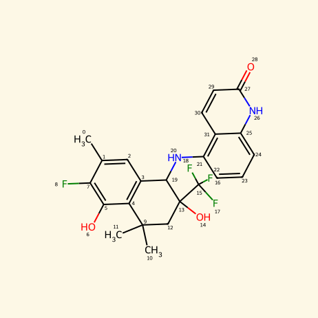 Cc1cc2c(c(O)c1F)C(C)(C)CC(O)(C(F)(F)F)C2Nc1cccc2[nH]c(=O)ccc12